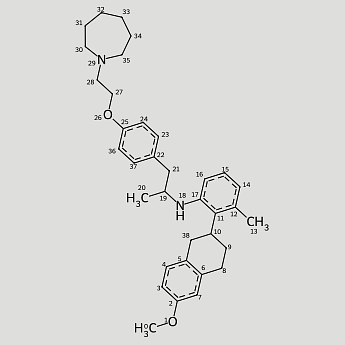 COc1ccc2c(c1)CCC(c1c(C)cccc1NC(C)Cc1ccc(OCCN3CCCCCC3)cc1)C2